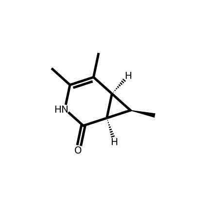 CC1=C(C)[C@H]2[C@@H](C)[C@H]2C(=O)N1